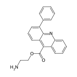 NCCOC(=O)c1c2ccccc2nc2c(-c3ccccc3)cccc12